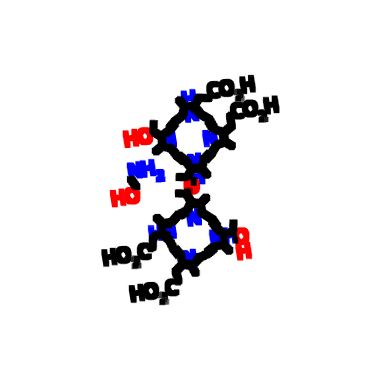 CC1=C(CCC(=O)O)c2cc3[nH]c(cc4nc(cc5[nH]c(cc1n2)c(C)c5C(C)OC(C)C1=C(C)c2cc5[nH]c(cc6nc(cc7[nH]c(cc1n2)c(C)c7CCC(=O)O)C(CCC(=O)O)=C6C)c(C)c5C(C)O)C(C)=C4C(C)O)c(C)c3CCC(=O)O.NCCO